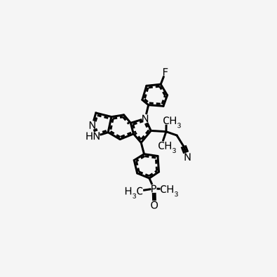 CC(C)(CC#N)c1c(-c2ccc(P(C)(C)=O)cc2)c2cc3[nH]ncc3cc2n1-c1ccc(F)cc1